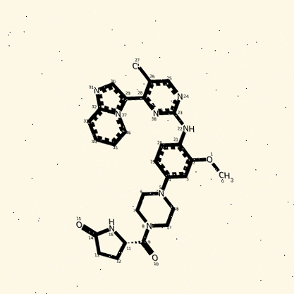 COc1cc(N2CCN(C(=O)[C@@H]3CCC(=O)N3)CC2)ccc1Nc1ncc(Cl)c(-c2cnc3ccccn23)n1